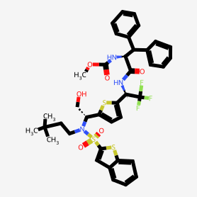 COC(=O)N[C@H](C(=O)N[C@H](c1ccc([C@@H](CO)N(CCC(C)(C)C)S(=O)(=O)c2cc3ccccc3s2)s1)C(F)(F)F)C(c1ccccc1)c1ccccc1